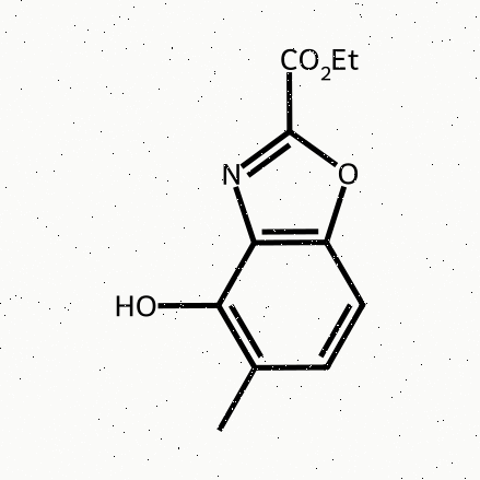 CCOC(=O)c1nc2c(O)c(C)ccc2o1